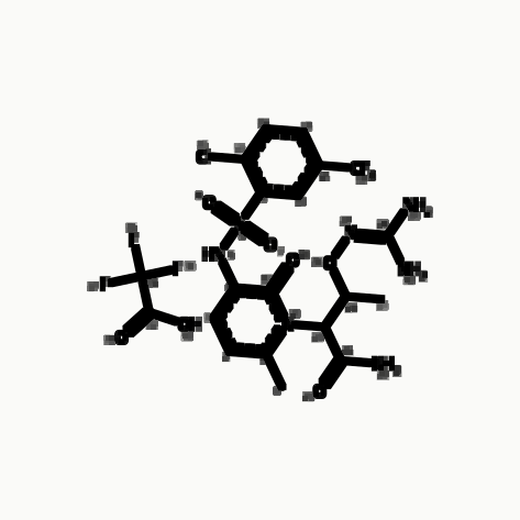 Cc1ccc(NS(=O)(=O)c2cc(C(F)(F)F)ccc2Cl)c(=O)n1C(C(N)=O)C(C)ON=C(N)N.O=C(O)C(F)(F)F